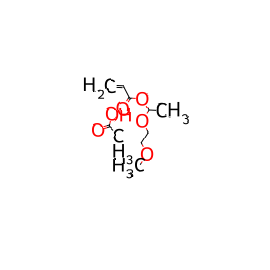 C=CC(=O)OC(C)OCCOC.CC(=O)O